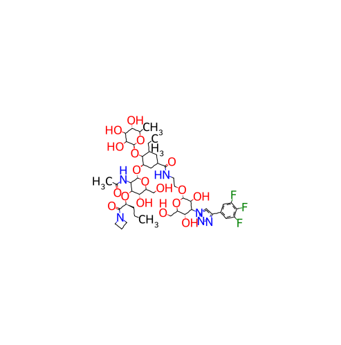 CCC[C@H](OC1C(NC(C)=O)[C@H](O[C@@H]2CC(C(=O)NCCO[C@H]3OC(CO)[C@@H](O)C(n4cc(-c5cc(F)c(F)c(F)c5)nn4)C3O)CC(CC)C2O[C@@H]2OC(C)[C@@H](O)C(O)C2O)OC(CO)[C@@H]1O)C(=O)N1CCC1